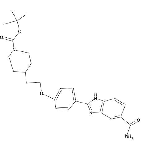 CC(C)(C)OC(=O)N1CCC(CCOc2ccc(-c3nc4cc(C(N)=O)ccc4[nH]3)cc2)CC1